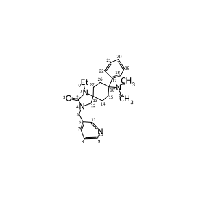 CCN1C(=O)N(Cc2cccnc2)CC12CCC(c1ccccc1)(N(C)C)CC2